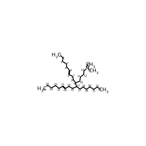 CCCCCC=CCCC(CCCCN(C)C)C(CC/C=C/CCCCC)CCCCCCC